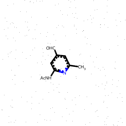 CC(=O)Nc1cc(C=O)cc(C)n1